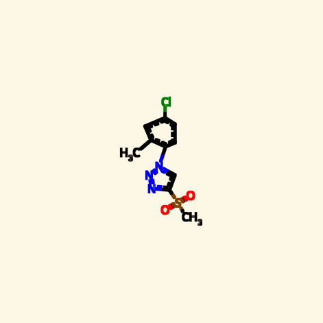 Cc1cc(Cl)ccc1-n1cc(S(C)(=O)=O)nn1